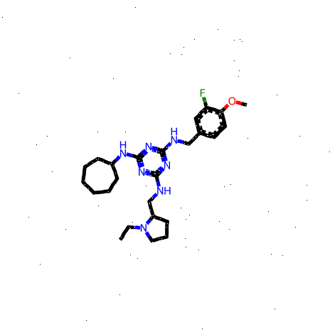 CCN1CCCC1CNc1nc(NCc2ccc(OC)c(F)c2)nc(NC2CCCCCC2)n1